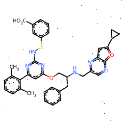 Cc1cccc(C)c1-c1cc(OCC(Cc2ccccc2)NCc2cnc3oc(C4CC4)cc3n2)nc(NSc2cccc(C(=O)O)c2)n1